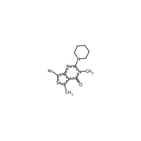 CC(=O)c1sc(C)c2c(=O)n(C)c(N3CCCCC3)nc12